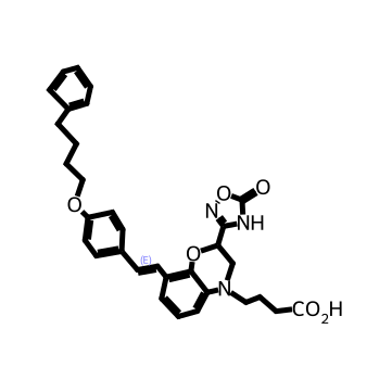 O=C(O)CCCN1CC(c2noc(=O)[nH]2)Oc2c(/C=C/c3ccc(OCCCCc4ccccc4)cc3)cccc21